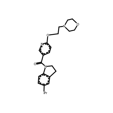 CC(C)c1ccc2c(c1)CCN2C(=O)c1ccc(OCCN2CCOCC2)nc1